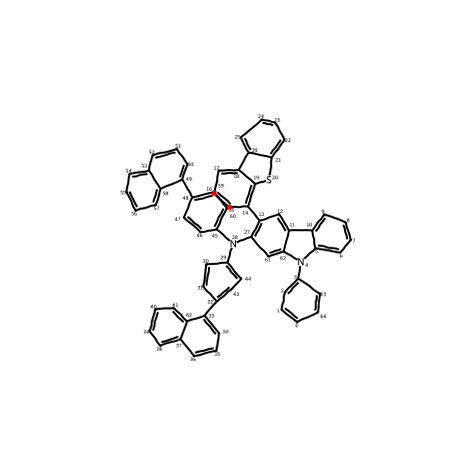 c1ccc(-n2c3ccccc3c3cc(-c4cccc5c4sc4ccccc45)c(N(c4ccc(-c5cccc6ccccc56)cc4)c4ccc(-c5cccc6ccccc56)cc4)cc32)cc1